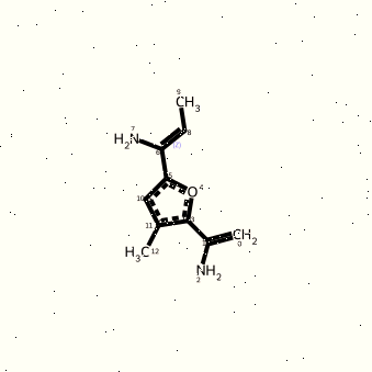 C=C(N)c1oc(/C(N)=C/C)cc1C